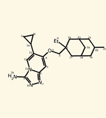 CCC1(COc2cc3nnc(N)n3cc2C2CC2)CC2CC(C)CC(C2)C1